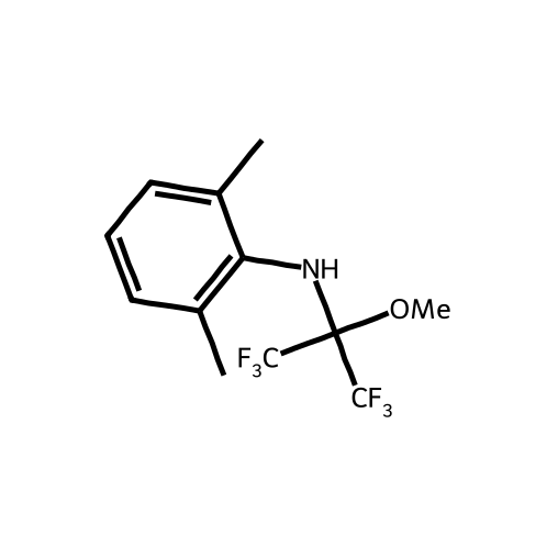 COC(Nc1c(C)cccc1C)(C(F)(F)F)C(F)(F)F